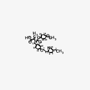 CCc1ccc(CCOc2ccc(CN(C(=O)Oc3ccc(OC)cc3)[C@@H](C)C(=O)O)cc2)nc1